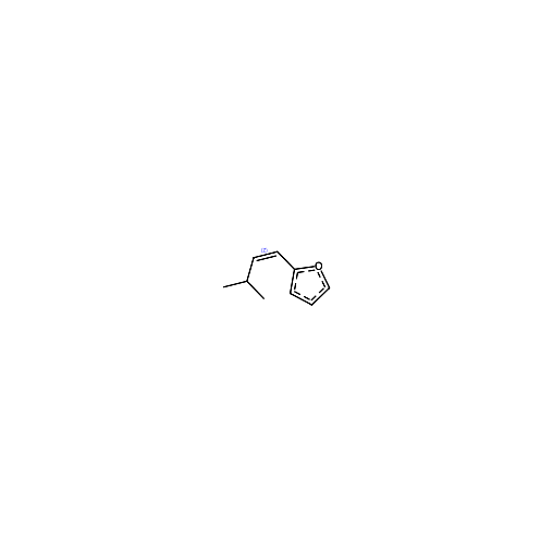 CC(C)/C=C\c1ccco1